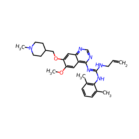 C=CCN/C(=N\c1ncnc2cc(OCC3CCN(C)CC3)c(OC)cc12)Nc1c(C)cccc1C